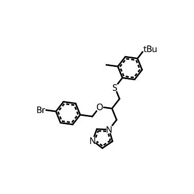 Cc1cc(C(C)(C)C)ccc1SCC(Cn1ccnc1)OCc1ccc(Br)cc1